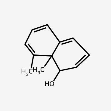 CC1=CC=CC2=CC=CC(O)C12C